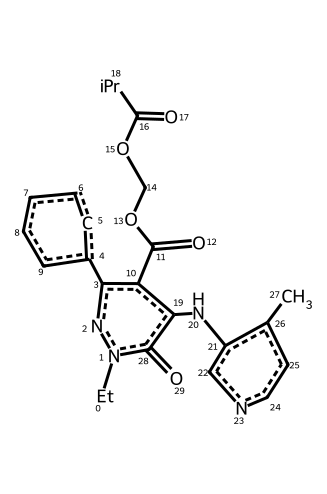 CCn1nc(-c2ccccc2)c(C(=O)OCOC(=O)C(C)C)c(Nc2cnccc2C)c1=O